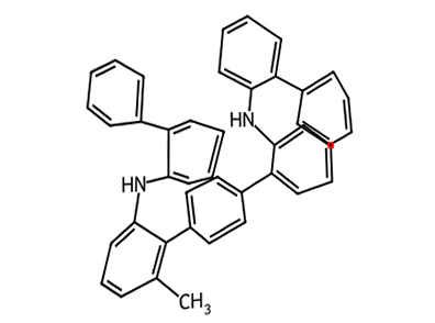 Cc1cccc(Nc2ccccc2-c2ccccc2)c1-c1ccc(-c2ccccc2Nc2ccccc2-c2ccccc2)cc1